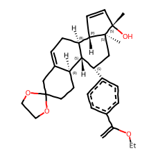 C=C(OCC)c1ccc([C@H]2C[C@@]3(C)[C@@H](C=C[C@]3(C)O)[C@@H]3CC=C4CC5(CC[C@@H]4[C@H]32)OCCO5)cc1